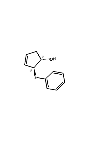 O[C@H]1CC=C[C@@H]1Sc1ccccc1